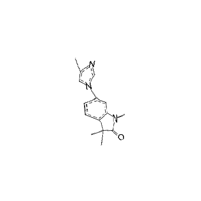 Cc1cn(-c2ccc3c(c2)N(C)C(=O)C3(C)C)cn1